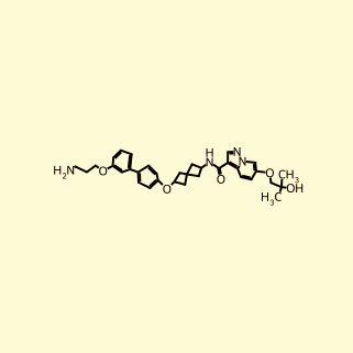 CC(C)(O)COc1ccc2c(C(=O)NC3CC4(C3)CC(Oc3ccc(-c5cccc(OCCCN)c5)cc3)C4)cnn2c1